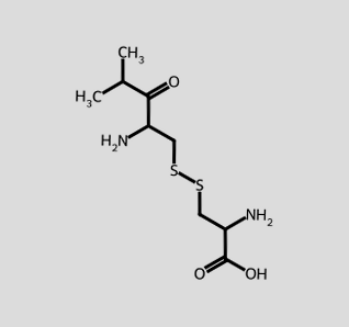 CC(C)C(=O)C(N)CSSCC(N)C(=O)O